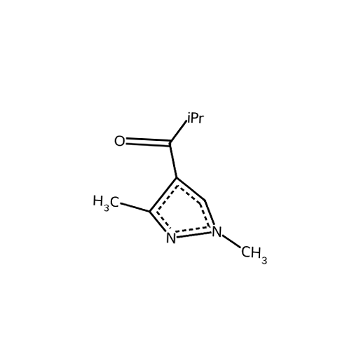 Cc1nn(C)cc1C(=O)C(C)C